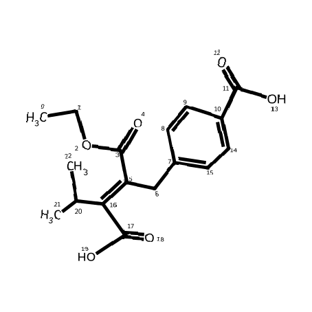 CCOC(=O)C(Cc1ccc(C(=O)O)cc1)=C(C(=O)O)C(C)C